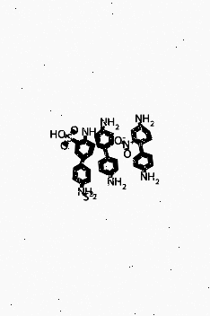 Nc1ccc(-c2ccc(N)c(S(=O)(=O)O)c2)cc1.Nc1ccc(-c2ccc(N)cc2)cc1.Nc1ccc(-c2ccc(N)cc2[N+](=O)[O-])cc1.[S-2]